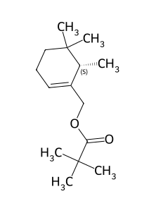 C[C@@H]1C(COC(=O)C(C)(C)C)=CCCC1(C)C